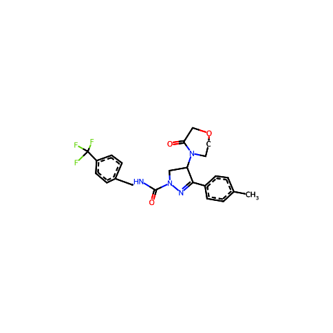 Cc1ccc(C2=NN(C(=O)NCc3ccc(C(F)(F)F)cc3)CC2N2CCOCC2=O)cc1